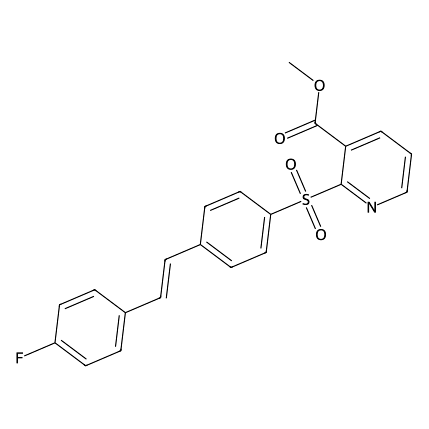 COC(=O)c1cccnc1S(=O)(=O)c1ccc(/C=C/c2ccc(F)cc2)cc1